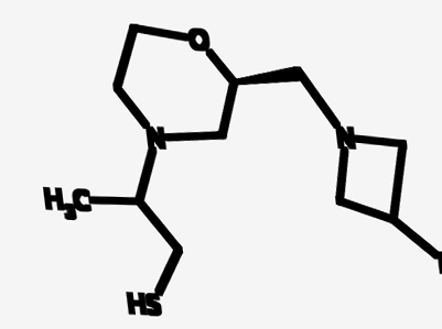 CC(CS)N1CCO[C@@H](CN2CC(F)C2)C1